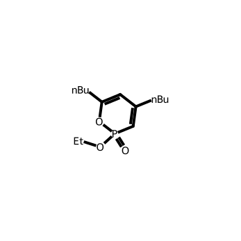 CCCCC1=CP(=O)(OCC)OC(CCCC)=C1